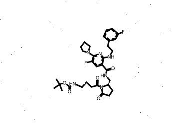 CC(C)(C)OC(=O)NCCCC(=O)N1C(=O)CC[C@@H]1CNC(=O)c1cc(F)c(N2CCCC2)nc1NCCc1cccc(F)c1